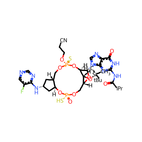 CC(C)C(=O)Nc1nc2c(ncn2[C@@H]2O[C@@H]3CO[P@](=O)(S)O[C@H]4C[C@H](Nc5ncncc5F)C[C@@H]4CO[P@](=S)(OCCC#N)O[C@@H]2[C@@H]3O[Si](C)(C)C(C)(C)C)c(=O)[nH]1